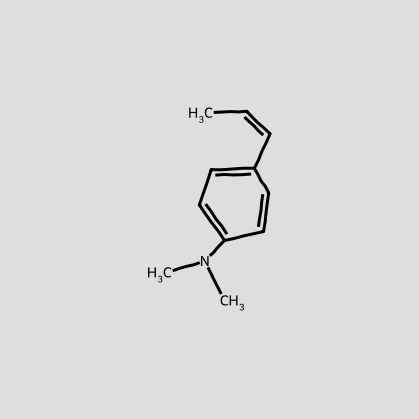 C/C=C\c1ccc(N(C)C)cc1